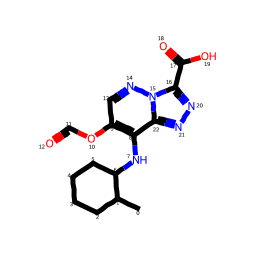 CC1CCCCC1Nc1c(OC=O)cnn2c(C(=O)O)nnc12